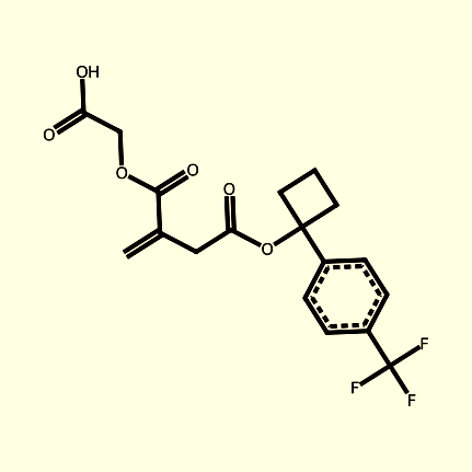 C=C(CC(=O)OC1(c2ccc(C(F)(F)F)cc2)CCC1)C(=O)OCC(=O)O